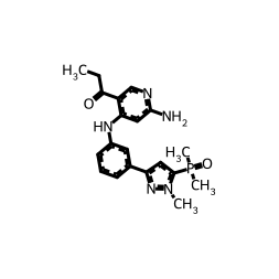 CCC(=O)c1cnc(N)cc1Nc1cccc(-c2cc(P(C)(C)=O)n(C)n2)c1